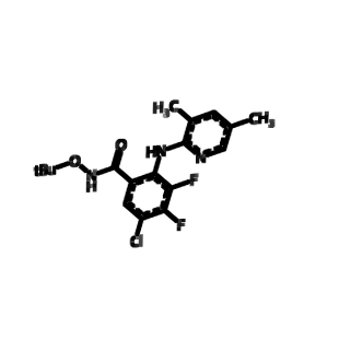 Cc1cnc(Nc2c(C(=O)NOC(C)(C)C)cc(Cl)c(F)c2F)c(C)c1